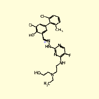 CCN(CCO)CCNc1nc(N/N=C/c2cc(-c3c(C)cccc3Cl)cc(Cl)c2O)ncc1F